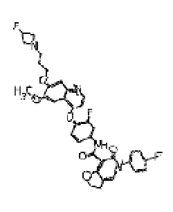 COc1cc2c(Oc3ccc(NC(=O)c4c5c(cn(-c6ccc(F)cc6)c4=O)CCO5)cc3F)ccnc2cc1OCCCN1CC(F)C1